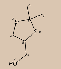 CC1(C)SCC(CO)S1